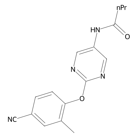 CCCC(=O)Nc1cnc(Oc2ccc(C#N)cc2C)nc1